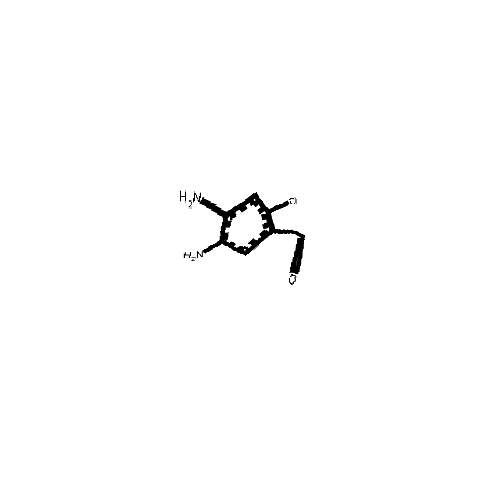 Nc1cc(Cl)c(C=O)cc1N